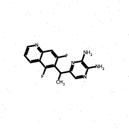 CC(c1cnc(N)c(N)n1)c1c(F)cc2ncccc2c1F